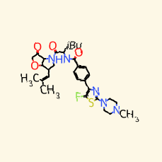 CCC(C)C(NC(=O)c1ccc(-c2nc(N3CCN(C)CC3)sc2F)cc1)C(=O)N1CC(C=C(C)C)C2OCC(=O)C21